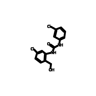 O=C(Nc1cccc(Cl)c1)Nc1cc(Cl)ccc1CO